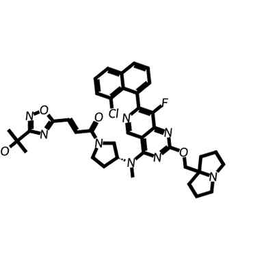 CN(c1nc(OCC23CCCN2CCC3)nc2c(F)c(-c3cccc4cccc(Cl)c34)ncc12)[C@@H]1CCN(C(=O)/C=C/c2nc(C(C)(C)O)no2)C1